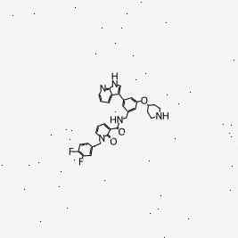 O=C(NCc1cc(OC2CCNCC2)cc(-c2c[nH]c3ncccc23)c1)c1cccn(Cc2ccc(F)c(F)c2)c1=O